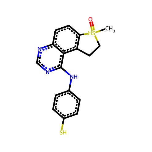 C[SH]1(=O)CCc2c1ccc1ncnc(Nc3ccc(S)cc3)c21